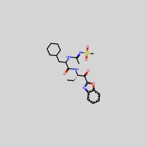 CC[C@H](NC(=O)C(CC1CCCCC1)NC(C)=NS(C)(=O)=O)C(=O)c1nc2ccccc2o1